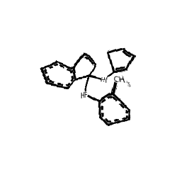 Cc1ccccc1P[C]1([Hf][C]2=CC=CC2)C=Cc2ccccc21